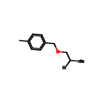 CCCCC(CC)COCc1ccc(C)cc1